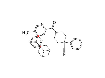 Cc1cnc(C(=O)N2CCC(C#N)(c3ccccc3)CC2)cc1C(=O)N1CC2CC(C1)C2c1ccccc1